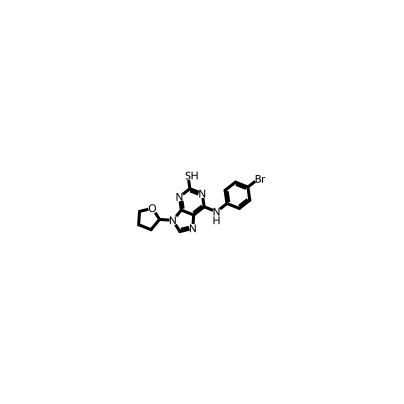 Sc1nc(Nc2ccc(Br)cc2)c2ncn(C3CCCO3)c2n1